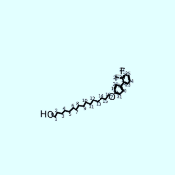 OCCCCCCCCCCCCCCCCOc1ccc(-c2cccc(F)c2F)cc1